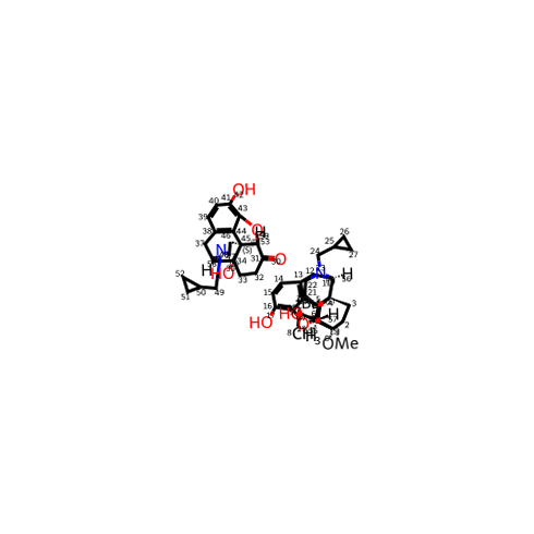 CO[C@@]12CC[C@@]3(C[C@@H]1[C@](C)(O)C(C)(C)C)[C@H]1Cc4ccc(O)c5c4[C@@]3(CCN1CC1CC1)[C@H]2O5.O=C1CC[C@@]2(O)[C@H]3Cc4ccc(O)c5c4[C@@]2(CCN3CC2CC2)[C@H]1O5